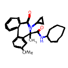 COc1ccc2c(c1)C(C)(C(=O)NC1CCCCCC1)N(C1CC1)C(=O)c1ccccc1-2